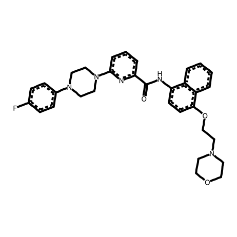 O=C(Nc1ccc(OCCN2CCOCC2)c2ccccc12)c1cccc(N2CCN(c3ccc(F)cc3)CC2)n1